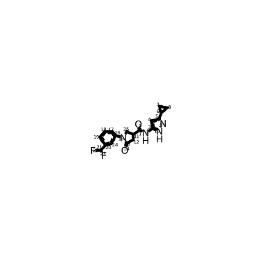 O=C(Nc1cc(C2CC2)n[nH]1)C1CC(=O)N(c2cccc(C(F)F)c2)C1